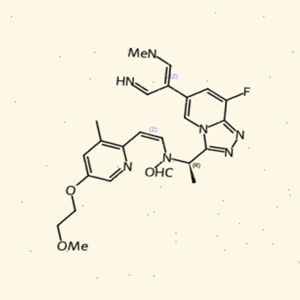 CN/C=C(\C=N)c1cc(F)c2nnc([C@@H](C)N(C=O)/C=C\c3ncc(OCCOC)cc3C)n2c1